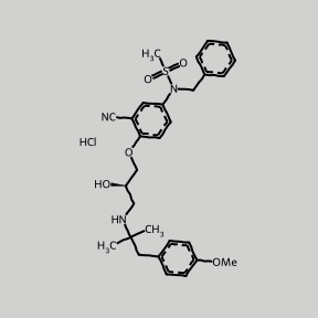 COc1ccc(CC(C)(C)NC[C@@H](O)COc2ccc(N(Cc3ccccc3)S(C)(=O)=O)cc2C#N)cc1.Cl